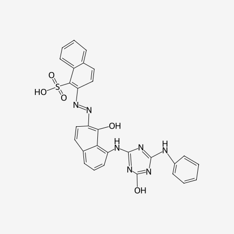 O=S(=O)(O)c1c(/N=N/c2ccc3cccc(Nc4nc(O)nc(Nc5ccccc5)n4)c3c2O)ccc2ccccc12